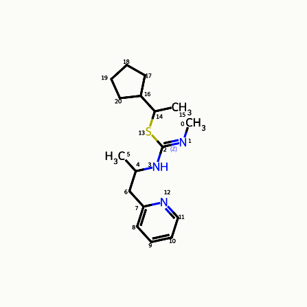 C/N=C(/NC(C)Cc1ccccn1)SC(C)C1CCCC1